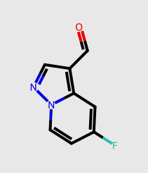 O=Cc1cnn2ccc(F)cc12